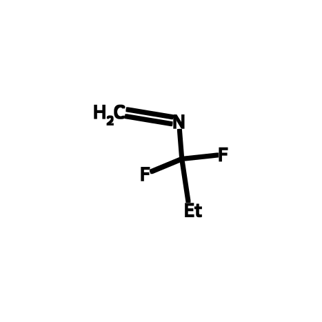 C=NC(F)(F)CC